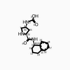 O=C(O)N[C@@H]1CN[C@H](C(=O)N[C@@H]2CCCc3ccccc32)C1